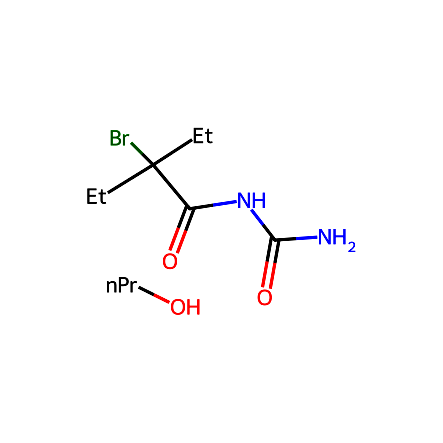 CCC(Br)(CC)C(=O)NC(N)=O.CCCO